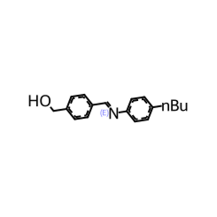 CCCCc1ccc(/N=C/c2ccc(CO)cc2)cc1